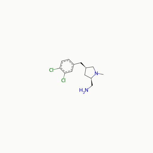 CN1C[C@H](Cc2ccc(Cl)c(Cl)c2)C[C@@H]1CN